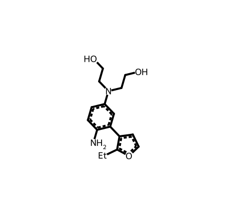 CCc1occc1-c1cc(N(CCO)CCO)ccc1N